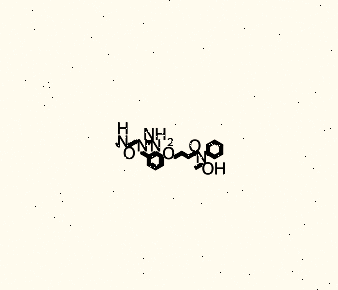 CNC(=O)CN1Cc2cccc(OCCCC(=O)N(C(C)O)C3CCCCC3)c2N=C1N